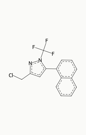 FC(F)(F)n1nc(CCl)cc1-c1cccc2ccccc12